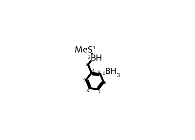 B.CSBCc1ccccc1